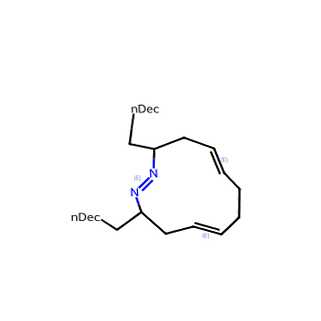 CCCCCCCCCCCC1C/C=C/CC/C=C/CC(CCCCCCCCCCC)/N=N/1